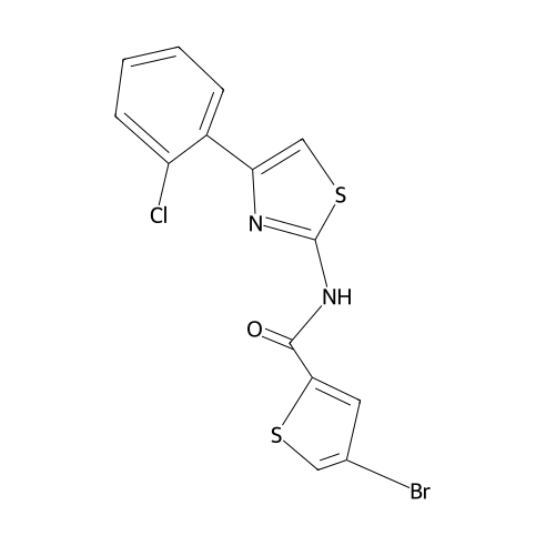 O=C(Nc1nc(-c2ccccc2Cl)cs1)c1cc(Br)cs1